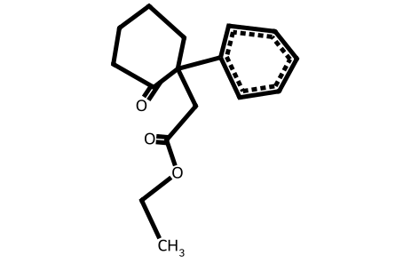 CCOC(=O)CC1(c2ccccc2)CCCCC1=O